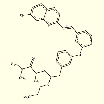 CC(SC(Cc1cccc(Oc2cccc(/C=C/c3ccc4ccc(Cl)cc4n3)c2)c1)SCCC(=O)O)C(=O)N(C)C